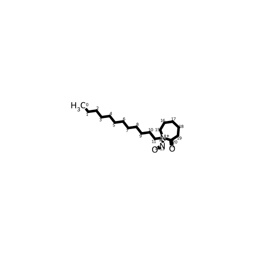 CCCCCCCCCCCC[N+]1(N=O)CCCCCC1=O